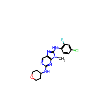 Cn1c(Nc2ccc(Cl)cc2F)nc2cnc(NC3CCOCC3)nc21